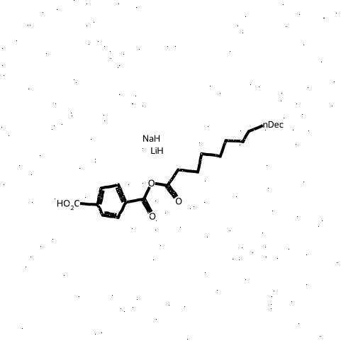 CCCCCCCCCCCCCCCCCC(=O)OC(=O)c1ccc(C(=O)O)cc1.[LiH].[NaH]